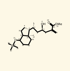 C=C(C[C@H](O)C[C@@H](C)[C@H]1CCC2C(O[Si](C)(C)C)CCC[C@@]21C)C(=O)OC